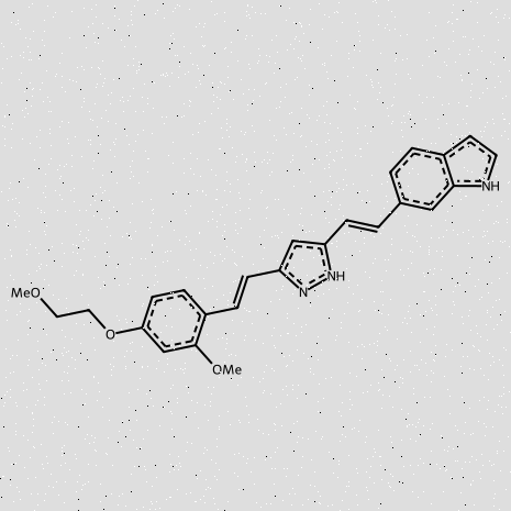 COCCOc1ccc(/C=C/c2cc(/C=C/c3ccc4cc[nH]c4c3)[nH]n2)c(OC)c1